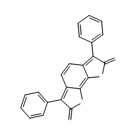 O=C1Oc2c3c(ccc2=C1c1ccccc1)=C(c1ccccc1)C(=O)O3